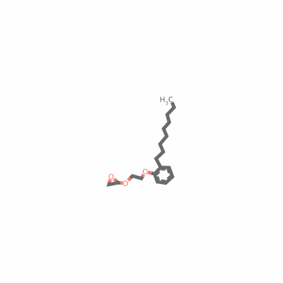 CCCCCCCCCc1ccccc1OCCOC1CO1